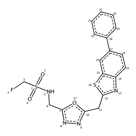 O=S(=O)(CF)NCc1nnc(Cc2nc3ccc(-c4ccccc4)cc3s2)o1